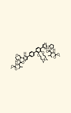 COCCOc1c(-c2ccc(-c3cnc([C@@H]4COCCN4C(=O)[C@@H](NC(=O)OC)C(C)C)[nH]3)cc2)ccc(-c2cnc([C@@H]3CCCN3C(=O)[C@@H](NC(=O)OC)C(C)C)[nH]2)c1OCCOC